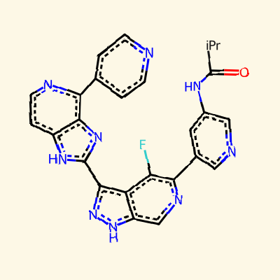 CC(C)C(=O)Nc1cncc(-c2ncc3[nH]nc(-c4nc5c(-c6ccncc6)nccc5[nH]4)c3c2F)c1